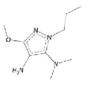 CCCn1nc(OC)c(N)c1N(C)C